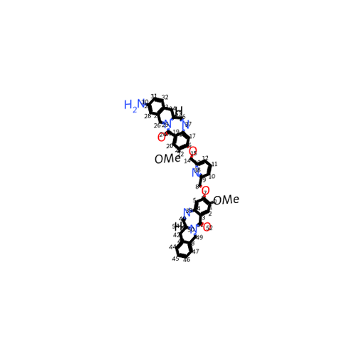 COc1cc2c(cc1OCc1cccc(COc3cc4c(cc3OC)C(=O)N3Cc5cc(N)ccc5C[C@H]3C=N4)n1)N=C[C@@H]1Cc3ccccc3CN1C2=O